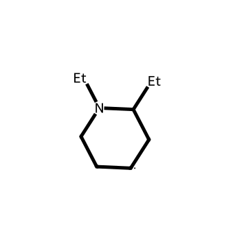 CCC1C[CH]CCN1CC